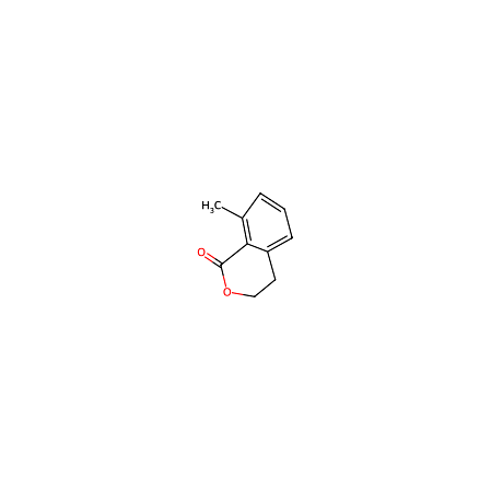 Cc1cccc2c1C(=O)OCC2